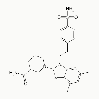 Cc1cc(C)c2c(c1)N(CCc1ccc(S(N)(=O)=O)cc1)C(N1CCCC(C(N)=O)C1)S2